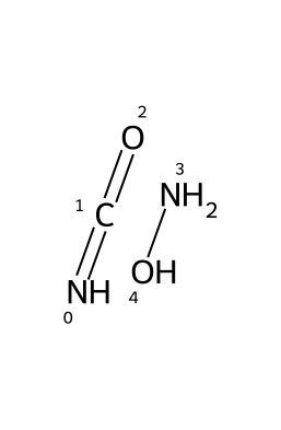 N=C=O.NO